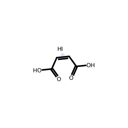 I.O=C(O)/C=C\C(=O)O